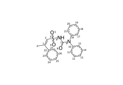 CC(=CS(=O)(=O)NC(=O)N(c1ccccc1)c1ccccc1)c1ccccc1